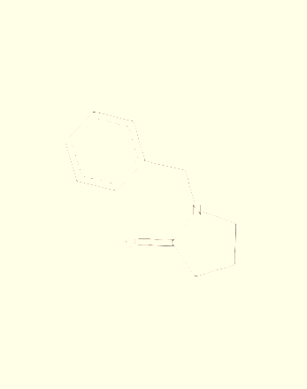 O=C1CC[CH]N1Cc1ccccc1